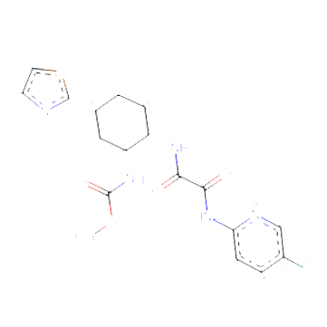 CC(C)(C)OC(=O)N[C@@H]1C[C@H](c2nccs2)CC[C@@H]1NC(=O)C(=O)Nc1ccc(Cl)cn1